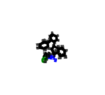 C1=CC(c2ccccc2-c2ccccc2)c2ccccc21.[Cl-].[Cl-].[NH2][Zr+2]